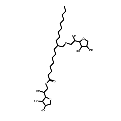 CCCCCCCCCC(CCCCCCCC(=O)OCC(O)C1OCC(O)C1O)COCC(O)C1OCC(O)C1O